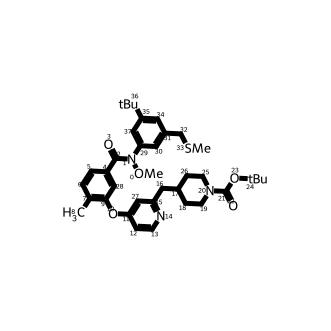 CON(C(=O)c1ccc(C)c(Oc2ccnc(CC3CCN(C(=O)OC(C)(C)C)CC3)c2)c1)c1cc(CSC)cc(C(C)(C)C)c1